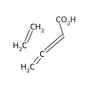 C=C.C=C=CC(=O)O